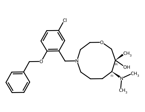 CN(C)[C@H]1CCCN(Cc2cc(Cl)ccc2OCc2ccccc2)CCOC[C@]1(C)O